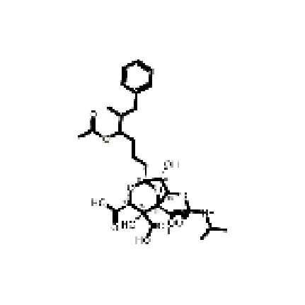 CC(=O)OC(CCC[C@]12O[C@H](C(=O)O)[C@@](O)(C(=O)O)[C@](C(=O)O)(O1)[C@H](OC(=O)NC(C)C)[C@H]2O)C(C)Cc1ccccc1